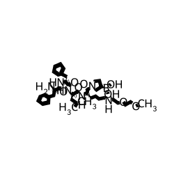 COCCOCCNCCCC[C@@H](NC(=O)[C@@H](CC(C)C)NC(=O)[C@@H](Cc1ccccc1)NC(=O)[C@H](N)Cc1ccccc1)C(=O)N1CC[C@@H](B(O)O)C1